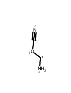 N#COCN